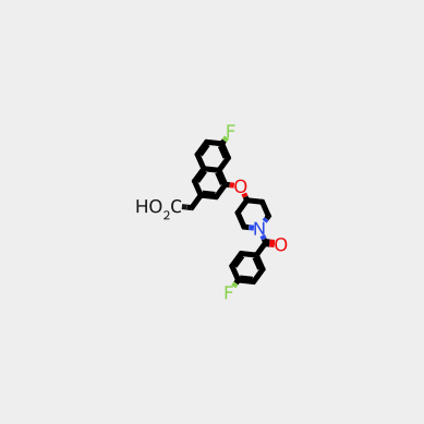 O=C(O)Cc1cc(OC2CCN(C(=O)c3ccc(F)cc3)CC2)c2cc(F)ccc2c1